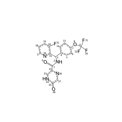 O=C(NC(c1ccc(OC(F)(F)F)cc1)c1ncccc1F)c1c[nH]c(=O)cn1